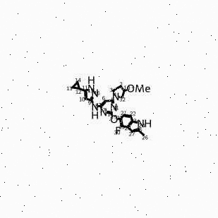 COC1CCN(c2cc(Nc3cc(C4CC4)[nH]n3)nc(Oc3ccc4[nH]c(C)cc4c3F)n2)C1